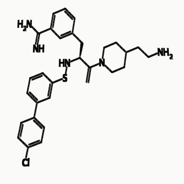 C=C([C@H](Cc1cccc(C(=N)N)c1)NSc1cccc(-c2ccc(Cl)cc2)c1)N1CCC(CCN)CC1